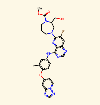 Cc1cc(Nc2ncnc3cc(Br)c(N4CCCN(C(=O)OC(C)(C)C)C(CO)C4)nc23)ccc1Oc1ccn2ncnc2c1